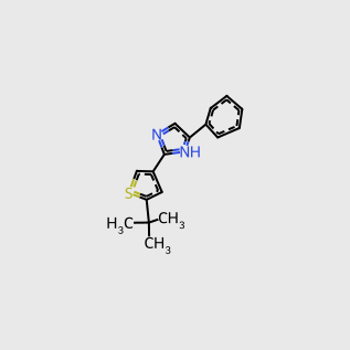 CC(C)(C)c1cc(-c2ncc(-c3ccccc3)[nH]2)cs1